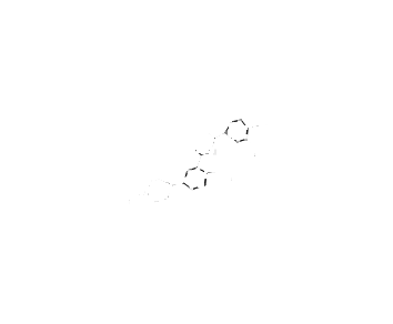 COc1cc(C(C)NC(=O)c2cc(N3CCN(C)CC3)ccc2C)ccc1O